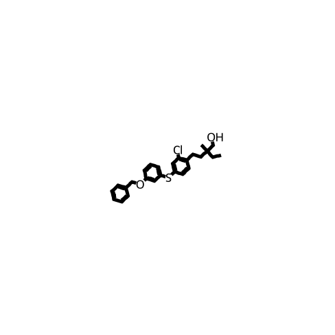 CCC(C)(CO)CCc1ccc(Sc2cccc(OCc3ccccc3)c2)cc1Cl